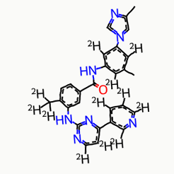 [2H]c1nc(Nc2cc(C(=O)Nc3c([2H])c(C)c([2H])c(-n4cnc(C)c4)c3[2H])ccc2C([2H])([2H])[2H])nc(-c2c([2H])nc([2H])c([2H])c2[2H])c1[2H]